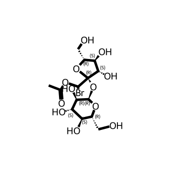 CC(=O)OC(Br)[C@@]1(O[C@H]2O[C@H](CO)[C@@H](O)[C@H](O)[C@H]2O)O[C@H](CO)[C@@H](O)[C@@H]1O